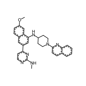 CNc1nccc(-c2cc(NC3CCN(c4ccc5ccccc5n4)CC3)c3cc(OC)ccc3c2)n1